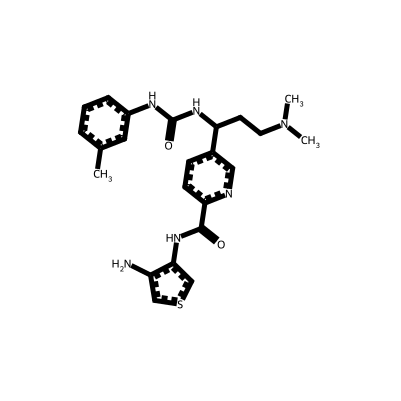 Cc1cccc(NC(=O)NC(CCN(C)C)c2ccc(C(=O)Nc3cscc3N)nc2)c1